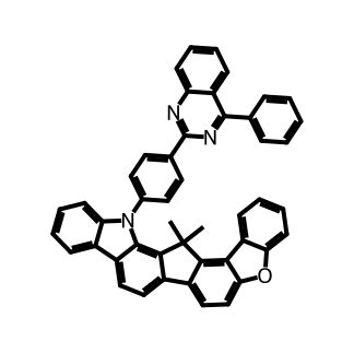 CC1(C)c2c(ccc3oc4ccccc4c23)-c2ccc3c4ccccc4n(-c4ccc(-c5nc(-c6ccccc6)c6ccccc6n5)cc4)c3c21